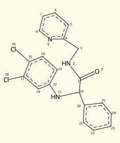 O=C(NCc1ccccn1)C(Nc1ccc(Cl)c(Cl)c1)c1ccccc1